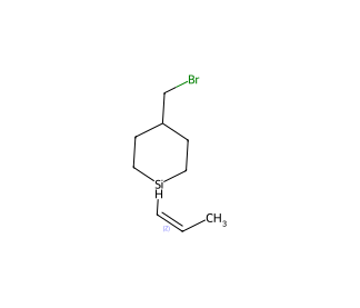 C/C=C\[SiH]1CCC(CBr)CC1